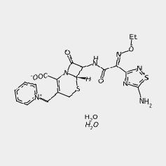 CCON=C(C(=O)NC1C(=O)N2C(C(=O)[O-])=C(C[n+]3ccccc3)CS[C@@H]12)c1nsc(N)n1.O.O